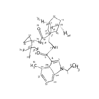 CCn1cc(C(=O)NC[C@@H]2C[C@H]3CC[C@@H](C2)N3CC(=O)NC2(C(F)(F)F)CC2)c2c(C)cccc21